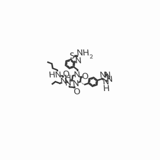 CCCCNC(=O)N(CCC)N1CC(=O)N2[C@@H](Cc3ccc(-c4nnn[nH]4)cc3)C(=O)N(Cc3cccc4sc(N)nc34)C[C@@H]21